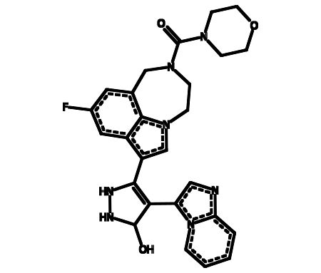 O=C(N1CCOCC1)N1CCn2cc(C3=C(c4cnc5ccccn45)C(O)NN3)c3cc(F)cc(c32)C1